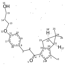 Cc1sc(C(=O)CCc2ccc(OCCCO)cc2)c2c1[C@H]1[C@@H](C2)C1(C)C